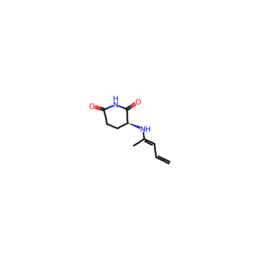 C=C/C=C(\C)N[C@H]1CCC(=O)NC1=O